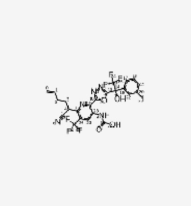 C=CCCC(C#N)c1nc(-c2nnc(C(O)(c3cccc(I)c3)C(F)(F)F)o2)c(NC(=O)O)cc1C(F)(F)F